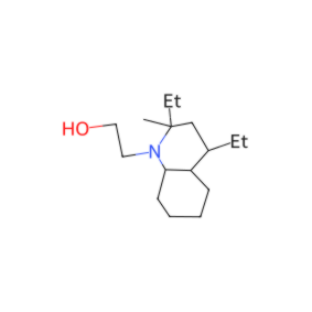 CCC1CC(C)(CC)N(CCO)C2CCCCC12